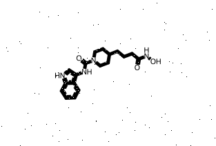 O=C(CCCC1CCN(C(=O)Nc2c[nH]c3ccccc23)CC1)NO